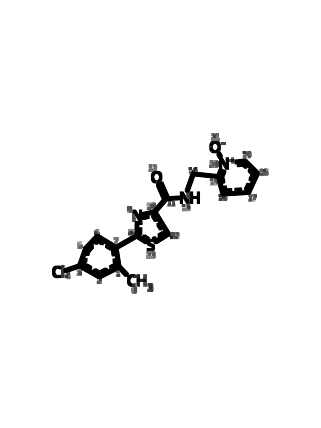 Cc1cc(Cl)ccc1-c1nc(C(=O)NCc2cccc[n+]2[O-])cs1